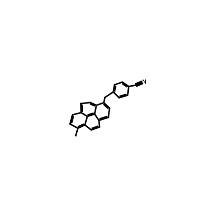 Cc1ccc2ccc3c(Cc4ccc(C#N)cc4)ccc4ccc1c2c43